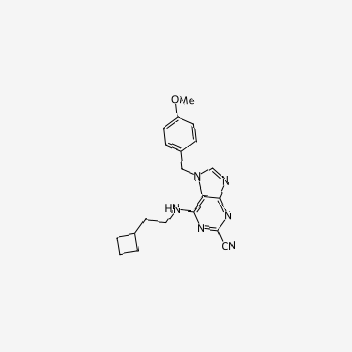 COc1ccc(Cn2cnc3nc(C#N)nc(NCCC4CCC4)c32)cc1